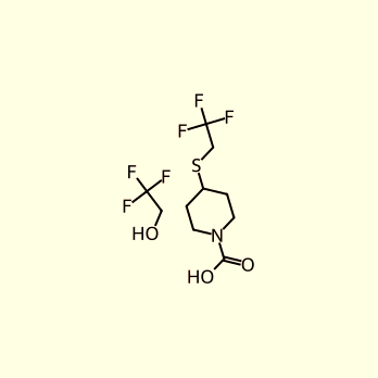 O=C(O)N1CCC(SCC(F)(F)F)CC1.OCC(F)(F)F